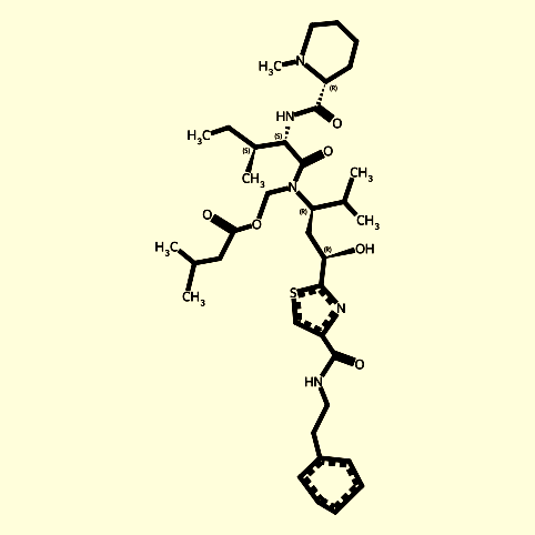 CC[C@H](C)[C@H](NC(=O)[C@H]1CCCCN1C)C(=O)N(COC(=O)CC(C)C)[C@H](C[C@@H](O)c1nc(C(=O)NCCc2ccccc2)cs1)C(C)C